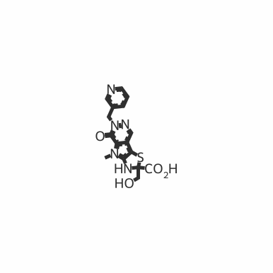 Cn1c2c(c3cnn(Cc4cccnc4)c(=O)c31)SC(CO)(C(=O)O)N2